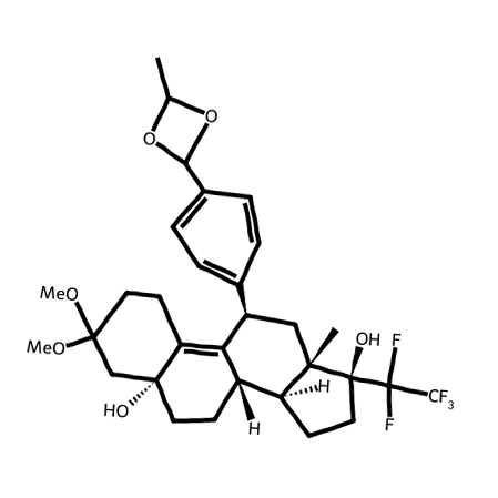 COC1(OC)CCC2=C3[C@@H](CC[C@@]2(O)C1)[C@@H]1CC[C@@](O)(C(F)(F)C(F)(F)F)[C@@]1(C)C[C@@H]3c1ccc(C2OC(C)O2)cc1